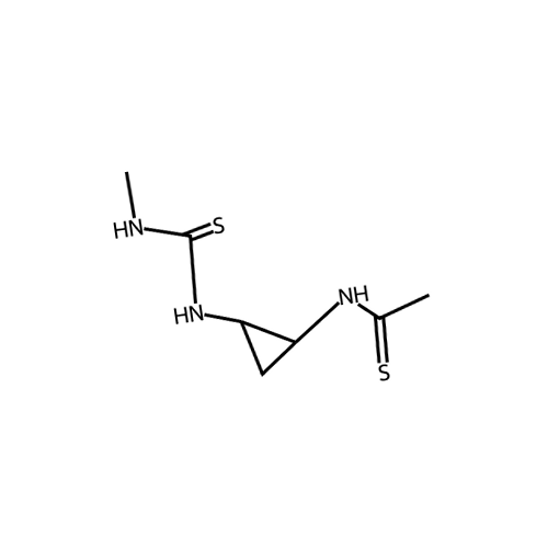 CNC(=S)NC1CC1NC(C)=S